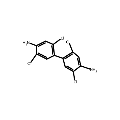 Nc1cc(Cl)c(-c2cc(Cl)c(N)cc2Cl)cc1Cl